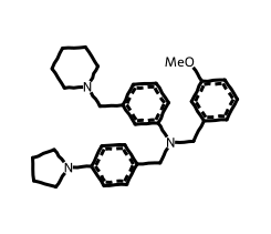 COc1cccc(CN(Cc2ccc(N3CCCC3)cc2)c2cccc(CN3CCCCC3)c2)c1